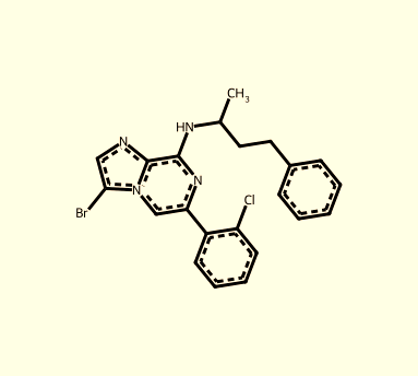 CC(CCc1ccccc1)Nc1nc(-c2ccccc2Cl)cn2c(Br)cnc12